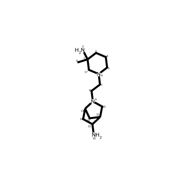 CC1(N)CCCN(CCN2CC3CC2CC3N)C1